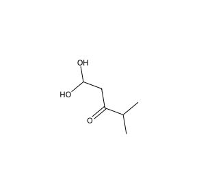 CC(C)C(=O)CC(O)O